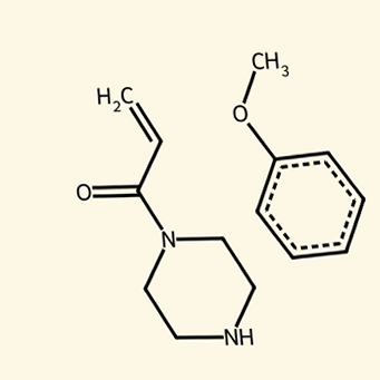 C=CC(=O)N1CCNCC1.COc1ccccc1